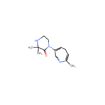 CC1=CCC=C(N2CCNC(C)(C)C2=O)C=N1